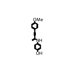 C=C(C#Cc1ccc(OC)cc1)Nc1ccc(O)cc1